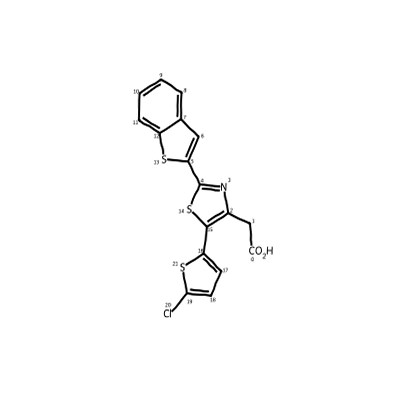 O=C(O)Cc1nc(-c2cc3ccccc3s2)sc1-c1ccc(Cl)s1